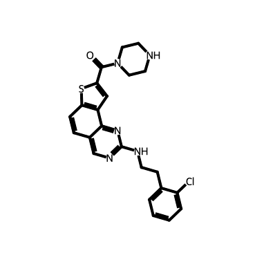 O=C(c1cc2c(ccc3cnc(NCCc4ccccc4Cl)nc32)s1)N1CCNCC1